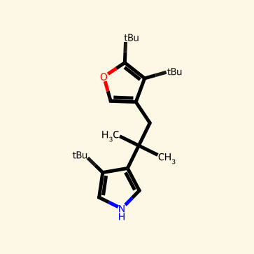 CC(C)(C)c1c[nH]cc1C(C)(C)Cc1coc(C(C)(C)C)c1C(C)(C)C